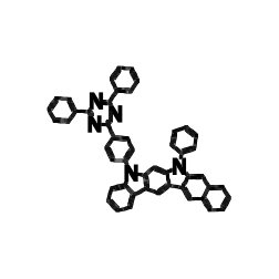 c1ccc(-c2nc(-c3ccccc3)nc(-c3ccc(-n4c5ccccc5c5cc6c7cc8ccccc8cc7n(-c7ccccc7)c6cc54)cc3)n2)cc1